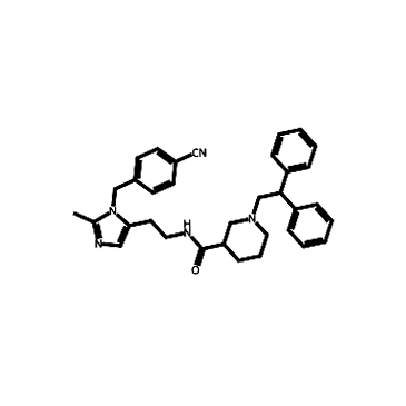 Cc1ncc(CCNC(=O)C2CCCN(CC(c3ccccc3)c3ccccc3)C2)n1Cc1ccc(C#N)cc1